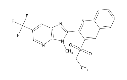 CCS(=O)(=O)c1cc2ccccc2nc1-c1nc2cc(C(F)(F)F)cnc2n1C